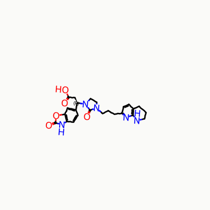 O=C(O)C[C@H](c1ccc2[nH]c(=O)oc2c1)N1CCN(CCCc2ccc3c(n2)NCCC3)C1=O